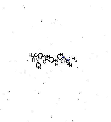 C=c1c(Nc2ccc(C(=O)Nc3ccc(C)c(Nc4ccncc4)c3)cc2)ccn/c1=C/C=C(\C)C#N